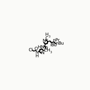 CCCC/C=C(CCC)/C(=C/c1cc(C(=O)Nc2cc(NC(=O)CCl)cnc2C)cnc1C)[C@H](C)CC